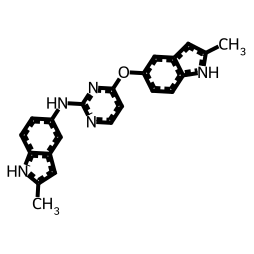 Cc1cc2cc(Nc3nccc(Oc4ccc5[nH]c(C)cc5c4)n3)ccc2[nH]1